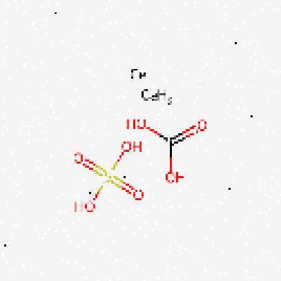 O=C(O)O.O=S(=O)(O)O.[CaH2].[Ce]